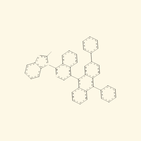 CCc1nc2ccccc2n1-c1ncc(-c2c3ccccc3c(-c3ccccc3)c3ccc(-c4ccccc4)cc23)c2ccccc12